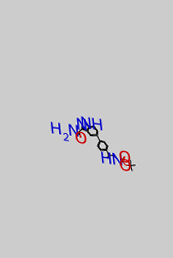 CC(CNC(=O)OC(C)(C)C)c1ccc(-c2ccc3[nH]nc(C(N)=O)c3c2)cc1